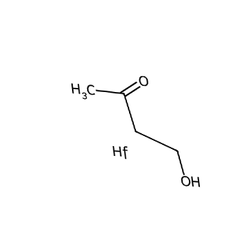 CC(=O)CCO.[Hf]